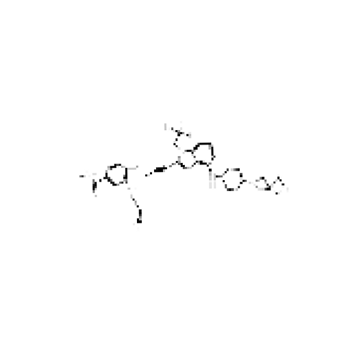 CNC(=O)c1ccc(NCC#Cc2cc3c(NC4CCC(N5CC6(COC6)C5)CC4)cccc3n2CC(F)(F)F)c(OCCC#N)c1